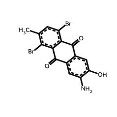 Cc1cc(Br)c2c(c1Br)C(=O)c1cc(N)c(O)cc1C2=O